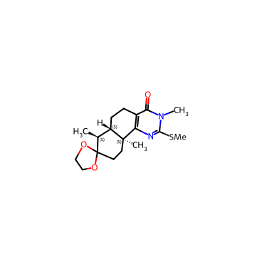 CSc1nc2c(c(=O)n1C)CC[C@H]1[C@H](C)C3(CC[C@]21C)OCCO3